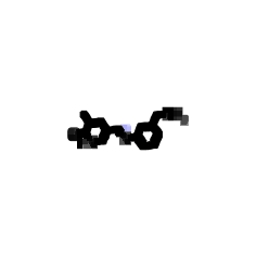 Cc1cc(/C=N/c2cccc(CN)c2)c[nH]c1=O